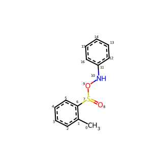 Cc1ccccc1S(=O)ONc1ccccc1